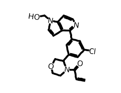 C=CC(=O)N1CCOCC1c1cc(Cl)cc(-c2nccc3c2ccn3CO)c1